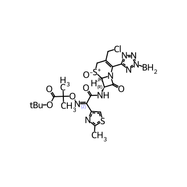 Bn1nnc(C2=C(CCl)C[S+]([O-])[C@@H]3[C@H](NC(=O)/C(=N\OC(C)(C)C(=O)OC(C)(C)C)c4csc(C)n4)C(=O)N23)n1